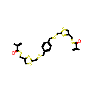 C=C(C)C(=O)SCC1CSC(CSCc2ccc(CSCC3SCC(CSC(=O)C(=C)C)S3)cc2)S1